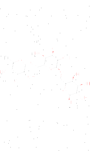 CCC1O[C@H](OCC2O[C@H](OCC3O[C@H](O)C(O)[C@H](O)[C@@H]3O)C(O)[C@H](O)[C@@H]2O)C(O)[C@H](O)[C@@H]1O